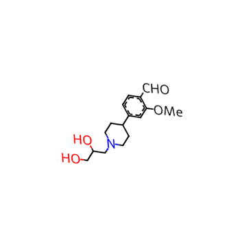 COc1cc(C2CCN(CC(O)CO)CC2)ccc1C=O